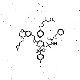 COCCCN1CCOc2ccc(CO[C@H]3CN(S(=O)(=O)c4ccc(C)cc4)[C@@H](CC(C)(C)NC(=O)OCc4ccccc4)C[C@@H]3c3ccc(COCC(C)COC)cc3)cc21